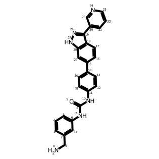 NCc1cccc(NC(=O)Nc2ccc(-c3ccc4c(-c5cccnc5)n[nH]c4c3)cc2)c1